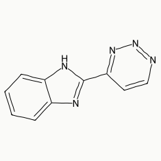 c1ccc2[nH]c(-c3ccnnn3)nc2c1